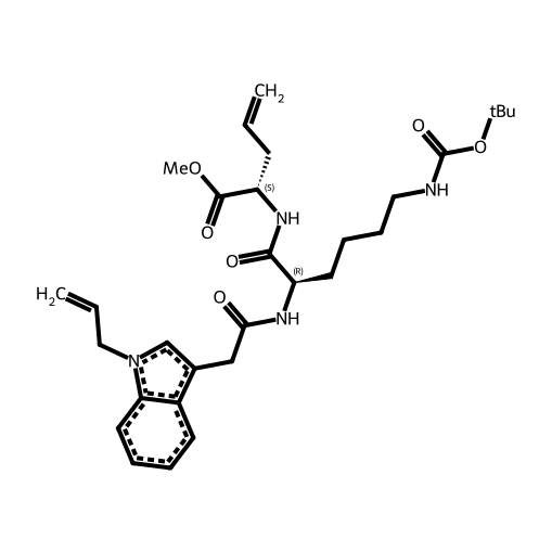 C=CC[C@H](NC(=O)[C@@H](CCCCNC(=O)OC(C)(C)C)NC(=O)Cc1cn(CC=C)c2ccccc12)C(=O)OC